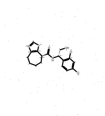 O=C(N[C@H](CO)c1ccc(Cl)cc1Cl)[C@H]1CCCCc2ncsc21